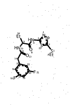 CCSc1nnc(NC(=O)C(CC)NC(=O)Cc2cc(F)cc(F)c2)s1